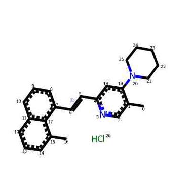 Cc1cnc(/C=C/c2cccc3cccc(C)c23)cc1N1CCCCC1.Cl